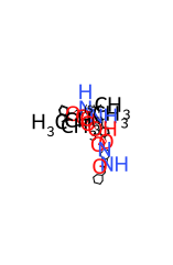 CC(C)C[C@H](NC(=O)COc1ccccc1C(C)(C)C)C(=O)N[C@@H](Cc1ccc(OC(=O)N2CCC(NC(=O)CC3CCCCC3)CC2)cc1)C(=O)O